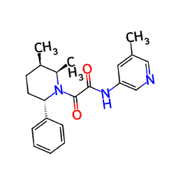 Cc1cncc(NC(=O)C(=O)N2[C@H](C)[C@H](C)CC[C@H]2c2ccccc2)c1